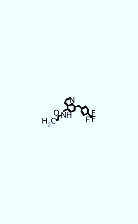 C=CC(=O)NCc1ccc(Cc2ccc(C(F)(F)F)cc2)c2ncccc12